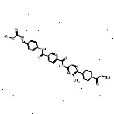 Cc1nc(NC(=O)c2ccc(C(=O)Nc3ccc(CNC(=O)OC(C)(C)C)cc3)cc2)cnc1C1=CCN(C(=O)OC(C)(C)C)CC1